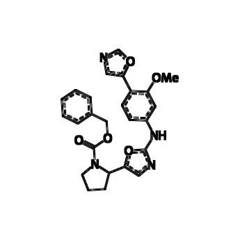 COc1cc(Nc2ncc(C3CCCN3C(=O)OCc3ccccc3)o2)ccc1-c1cnco1